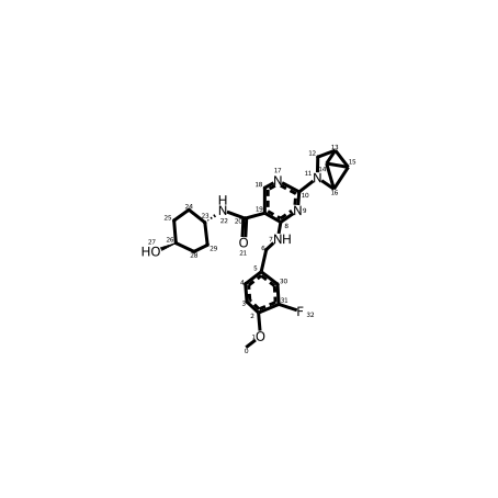 COc1ccc(CNc2nc(N3CC4C5C4C53)ncc2C(=O)N[C@H]2CC[C@H](O)CC2)cc1F